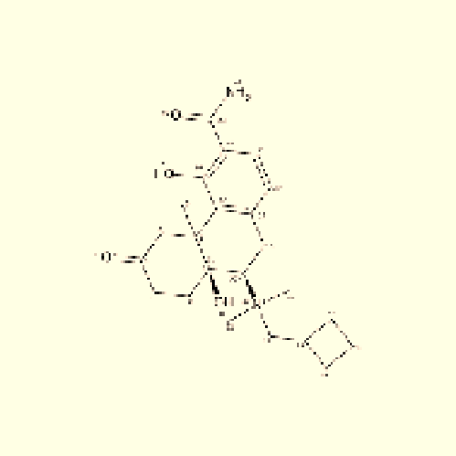 CC12CC(=O)CC[C@@]1(O)[C@H]([N+](C)(C)CC1CCC1)Cc1ccc(C(N)=O)c(O)c12